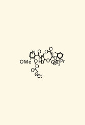 CCOCC(=O)OCOc1c(OC)ccnc1C(=O)N[C@H]1COC(=O)[C@H](Cc2ccccc2)[C@@H](OC(=O)C(C)C)C(C)OC1=O